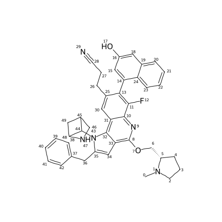 CN1CCC[C@H]1COc1nc2c(F)c(-c3cc(O)cc4ccccc34)c(CCC#N)cc2c2c1cc(Cc1ccccc1)n2C1C2CNC1C2